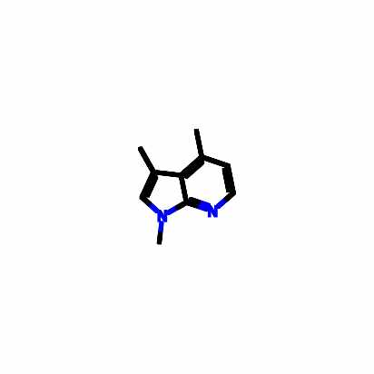 Cc1ccnc2c1c(C)cn2C